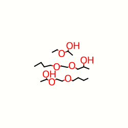 CCCCOCCOC(C)O.CCCCOCCOCC(C)O.CCOC(C)O